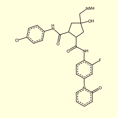 CNCC1(O)CC(C(=O)Nc2ccc(Cl)cc2)C(C(=O)Nc2ccc(-n3ccccc3=O)cc2F)C1